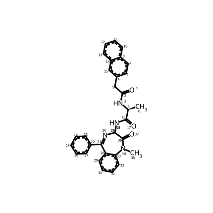 C[C@H](NC(=O)Cc1ccc2ccccc2c1)C(=O)NC1N=C(c2ccccc2)c2ccccc2N(C)C1=O